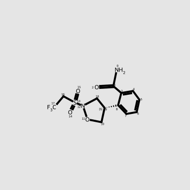 NC(=O)c1ccccc1[C@@H]1CON(S(=O)(=O)CC(F)(F)F)C1